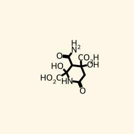 NC(=O)C1C(O)(C(=O)O)CC(=O)NC1(O)C(=O)O